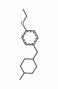 CCOc1ccc(CC2CCC(C)CC2)cc1